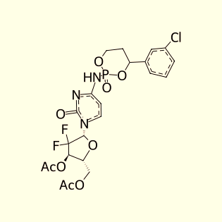 CC(=O)OC[C@H]1O[C@@H](n2ccc(NP3(=O)OCCC(c4cccc(Cl)c4)O3)nc2=O)C(F)(F)[C@@H]1OC(C)=O